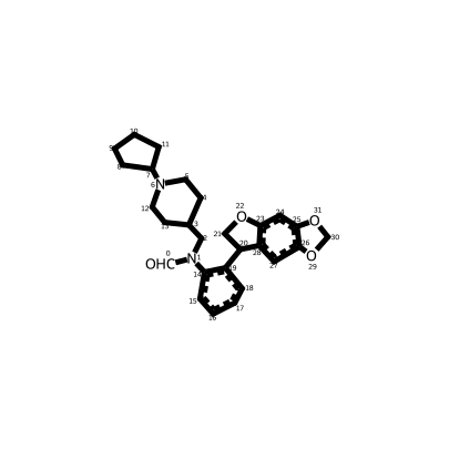 O=CN(CC1CCN(C2CCCC2)CC1)c1ccccc1C1COc2cc3c(cc21)OCO3